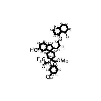 COC(=O)C1(N(C(=O)C(F)(F)F)c2cccc(Cl)c2)CCC2(CC1)c1cc(O)ccc1C[C@H]2C[C@@H](C)COc1ccnc2c1[C@H](C)CCC2